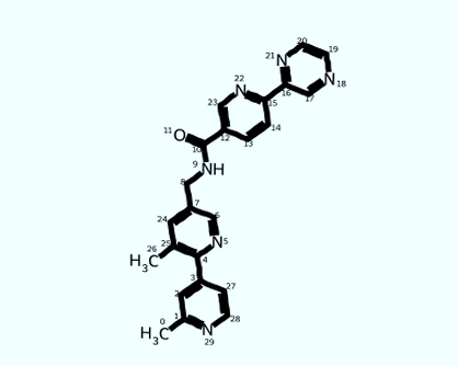 Cc1cc(-c2ncc(CNC(=O)c3ccc(-c4cnccn4)nc3)cc2C)ccn1